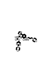 COc1c(OCCCN2CCOCC2)ccc2c1N=C(NC(=O)Oc1cnc(N3CCOCC3)nc1)N1CCN=C21